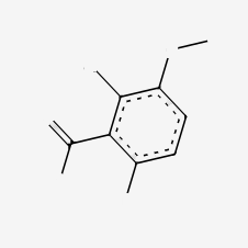 COc1ccc(F)c(C(=O)Cl)c1Cl